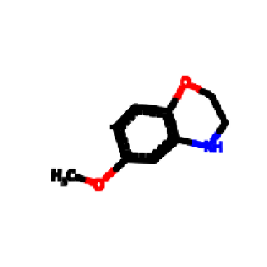 COc1[c]cc2c(c1)NCCO2